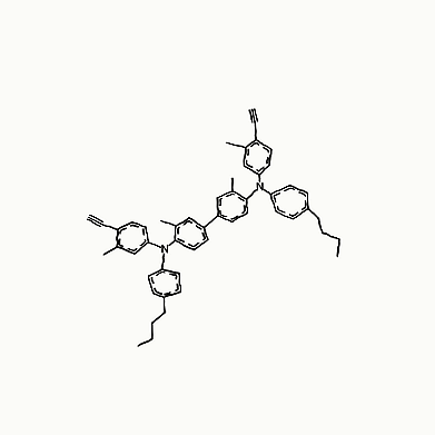 C#Cc1ccc(N(c2ccc(CCCC)cc2)c2ccc(-c3ccc(N(c4ccc(CCCC)cc4)c4ccc(C#C)c(C)c4)c(C)c3)cc2C)cc1C